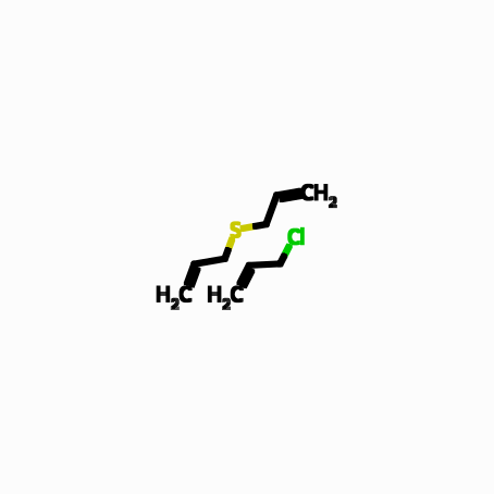 C=CCCl.C=CCSCC=C